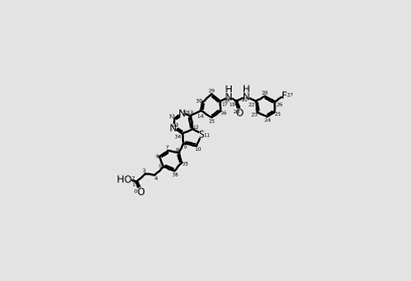 O=C(O)CCc1ccc(-c2csc3c(-c4ccc(NC(=O)Nc5cccc(F)c5)cc4)ncnc23)cc1